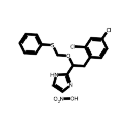 Clc1ccc(CC(OCSc2ccccc2)c2ncc[nH]2)c(Cl)c1.O=[N+]([O-])O